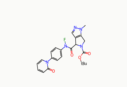 Cn1ncc2c1CN(C(=O)OC(C)(C)C)C2C(=O)N(F)c1ccc(-n2ccccc2=O)cc1